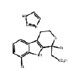 CCc1cccc2c3c([nH]c12)C(CC)(CC(=O)O)OCC3.c1c[nH]nn1